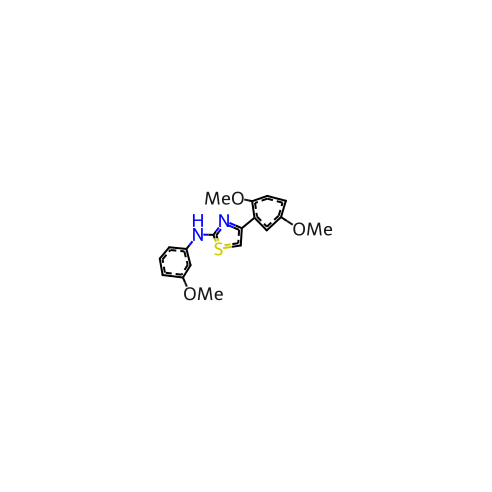 COc1cccc(Nc2nc(-c3cc(OC)ccc3OC)cs2)c1